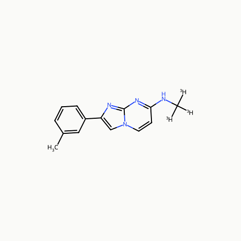 [3H]C([3H])([3H])Nc1ccn2cc(-c3cccc(C)c3)nc2n1